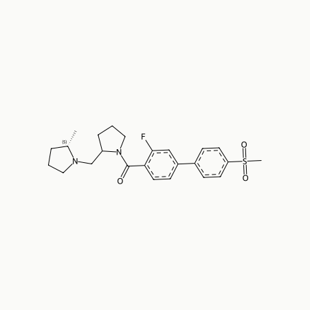 C[C@H]1CCCN1CC1CCCN1C(=O)c1ccc(-c2ccc(S(C)(=O)=O)cc2)cc1F